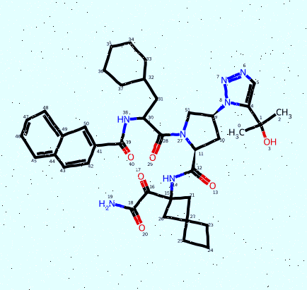 CC(C)(O)c1cnnn1[C@H]1C[C@@H](C(=O)NC2(C(=O)C(N)=O)CC3(CCC3)C2)N(C(=O)C(CC2CCCCC2)NC(=O)c2ccc3ccccc3c2)C1